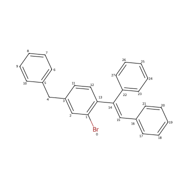 Brc1cc(Cc2ccccc2)ccc1C(=Cc1ccccc1)c1ccccc1